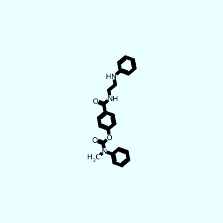 CN(C(=O)Oc1ccc(C(=O)NCCNc2ccccc2)cc1)c1ccccc1